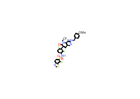 COc1ccc(CNc2cc3c(cn2)cc(-c2c(F)ccc(NS(=O)(=O)c4ccc5ncsc5c4F)c2F)c(=O)n3CC(F)(F)F)cc1